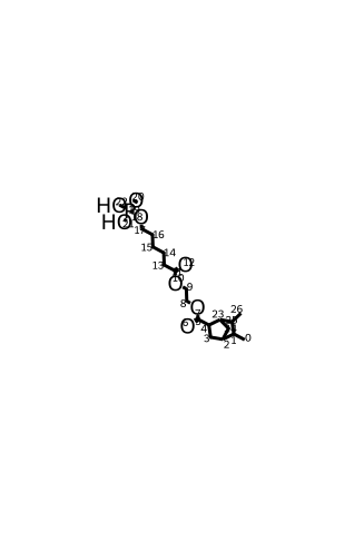 CC1C2CC(C(=O)OCCOC(=O)CCCCCOP(=O)(O)O)C(C2)C1C